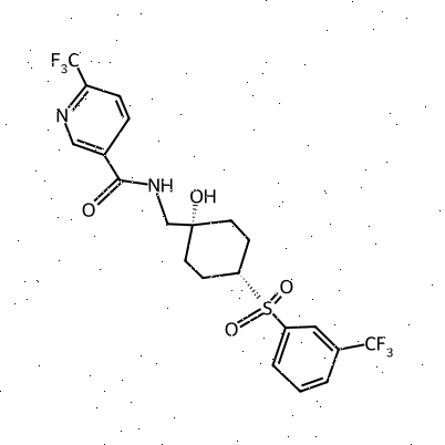 O=C(NC[C@]1(O)CC[C@@H](S(=O)(=O)c2cccc(C(F)(F)F)c2)CC1)c1ccc(C(F)(F)F)nc1